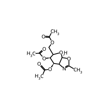 CC(=O)OCC1O[C@H]2OC(C)=NC2[C@@H](OC(C)=O)[C@H]1OC(C)=O